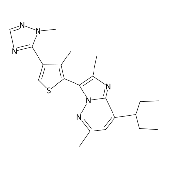 CCC(CC)c1cc(C)nn2c(-c3scc(-c4ncnn4C)c3C)c(C)nc12